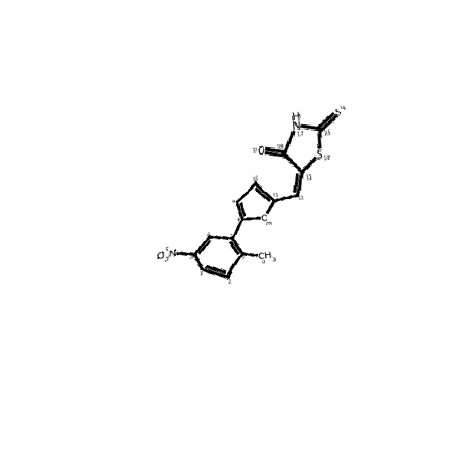 Cc1ccc([N+](=O)[O-])cc1-c1ccc(/C=C2/SC(=S)NC2=O)o1